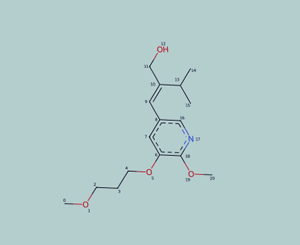 COCCCOc1cc(/C=C(/CO)C(C)C)cnc1OC